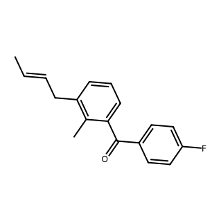 CC=CCc1cccc(C(=O)c2ccc(F)cc2)c1C